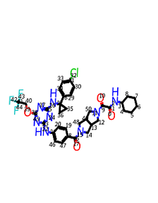 O=C(NC1CCCCC1)C(=O)N1CC2CN(C(=O)c3ccc(Nc4nc(NC5(c6ccc(Cl)cc6)CC5)nc(OCC(F)(F)F)n4)cc3)CC2C1